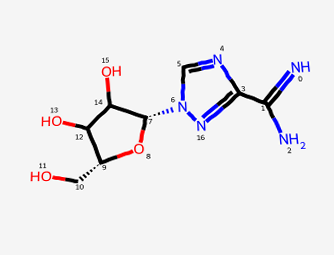 N=C(N)c1ncn([C@@H]2O[C@H](CO)C(O)C2O)n1